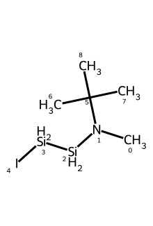 CN([SiH2][SiH2]I)C(C)(C)C